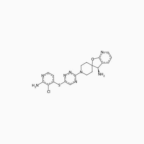 Nc1nccc(Sc2cnc(N3CCC4(CC3)Oc3ncccc3[C@H]4N)nn2)c1Cl